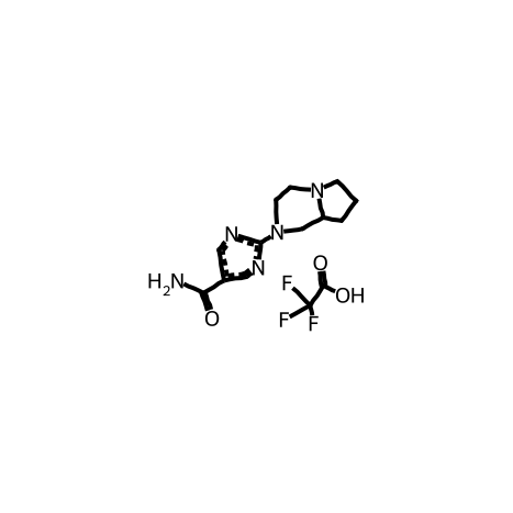 NC(=O)c1cnc(N2CCN3CCCC3C2)nc1.O=C(O)C(F)(F)F